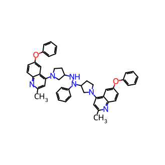 Cc1cc(N2CCC(NN(c3ccccc3)C3CCN(c4cc(C)nc5ccc(Oc6ccccc6)cc45)C3)C2)c2cc(Oc3ccccc3)ccc2n1